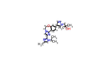 Cc1cn(C(C)C)c(-c2cn3c(n2)-c2ccc(-c4cnn(CC(C)(C)O)c4)cc2OCC3)n1